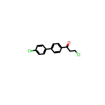 O=C(CCCl)c1ccc(-c2ccc(Cl)cc2)cc1